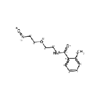 Cc1ccccc1C(=O)NCCOCCN=O